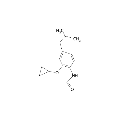 CN(C)Cc1ccc(NC=O)c(OC2CC2)c1